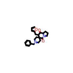 O=C1C2CCCN2C(=O)C2(CCN(Cc3ccccc3)CC2)C1Cc1ccco1